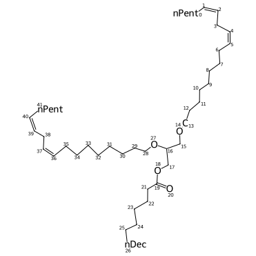 CCCCC/C=C\C/C=C\CCCCCCCCOCC(COC(=O)CCCCCCCCCCCCCCC)OCCCCCCCC/C=C\C/C=C\CCCCC